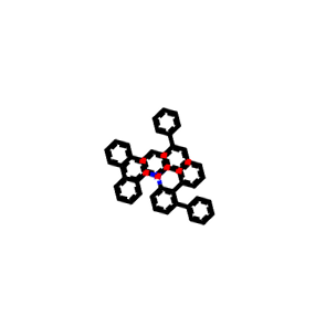 c1ccc(-c2cccc(N(c3cccc(-c4ccccc4)c3-c3ccccc3-c3ccccc3)c3cc4ccccc4c4ccccc34)c2)cc1